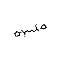 O=C(CCCCC(=O)OC1CCCC1)OC1CCCC1